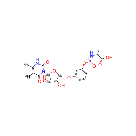 [2H]c1[nH]c(=O)n([C@@H]2O[C@H](COc3cccc(O[PH](=O)NC(C)C(=O)O)c3)[C@@H](O)[C@@]2(C)O)c(=O)c1[2H]